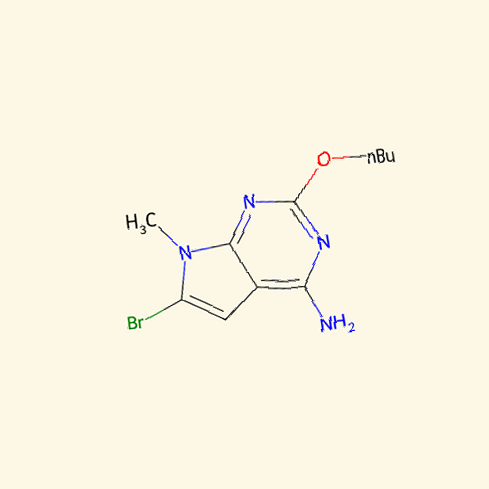 CCCCOc1nc(N)c2cc(Br)n(C)c2n1